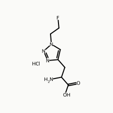 Cl.NC(Cc1cn(CCF)nn1)C(=O)O